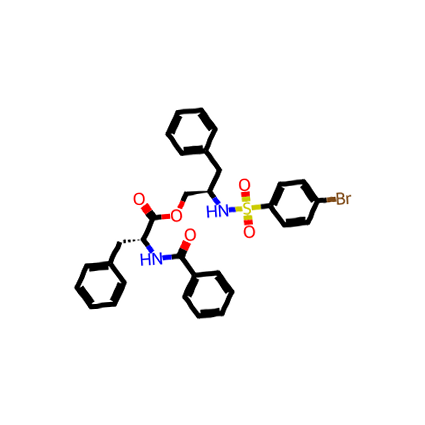 O=C(N[C@H](Cc1ccccc1)C(=O)OC[C@@H](Cc1ccccc1)NS(=O)(=O)c1ccc(Br)cc1)c1ccccc1